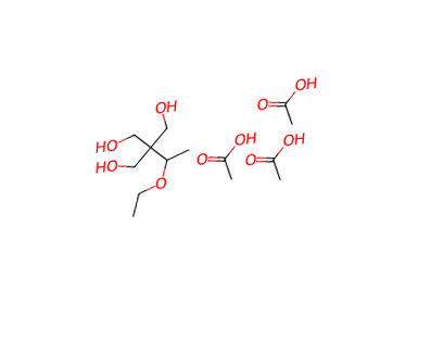 CC(=O)O.CC(=O)O.CC(=O)O.CCOC(C)C(CO)(CO)CO